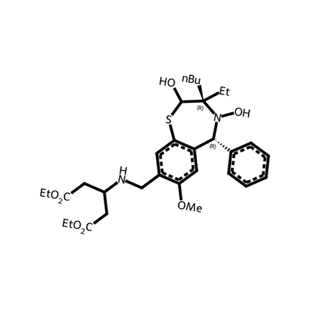 CCCC[C@]1(CC)C(O)Sc2cc(CNC(CC(=O)OCC)CC(=O)OCC)c(OC)cc2[C@@H](c2ccccc2)N1O